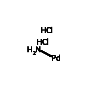 Cl.Cl.[NH2][Pd]